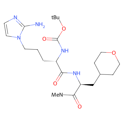 CNC(=O)[C@H](CC1CCOCC1)NC(=O)[C@H](CCCn1ccnc1N)NC(=O)OC(C)(C)C